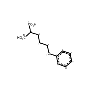 O=C(O)C(CCCOc1ccccn1)C(=O)O